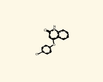 O=c1cc(Oc2ccc(Cl)cc2)c2ccccc2[nH]1